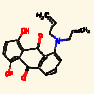 C=CCN(CC=C)c1cccc2c1C(=O)c1c(O)ccc(O)c1C2=O